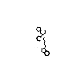 CO[C@H]1Cc2ccccc2C1CCCCC[C@@]1(c2ccccn2)CCOC2(CCCC2)C1